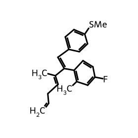 C=CC/C=C(C)/C(=C/c1ccc(SC)cc1)c1ccc(F)cc1C